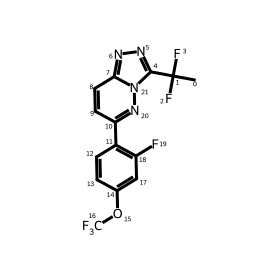 CC(F)(F)c1nnc2ccc(-c3ccc(OC(F)(F)F)cc3F)nn12